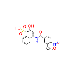 Cc1cc(C(=O)Nc2cc(O)c(S(=O)(=O)O)c3ccccc23)ccc1[N+](=O)[O-]